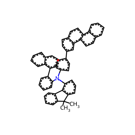 CC1(C)c2ccccc2-c2c(N(c3ccc(-c4ccc5ccc6c7ccccc7ccc6c5c4)cc3)c3ccccc3-c3cccc4ccccc34)cccc21